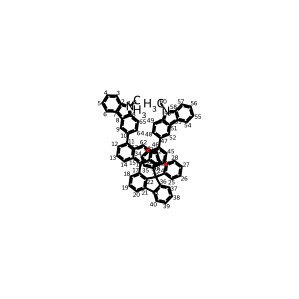 Cn1c2ccccc2c2cc(-c3cccc4c(-c5cccc6c5C(c5ccccc5)(c5ccccc5)c5ccccc5-6)c5cccc(-c6ccc7c(c6)c6ccccc6n7C)c5cc34)ccc21